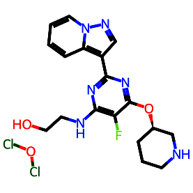 ClOCl.OCCNc1nc(-c2cnn3ccccc23)nc(O[C@@H]2CCCNC2)c1F